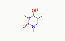 CC1=CN(C)C(=O)N(C)C1O